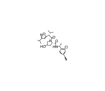 C#Cc1ccc([C@H](C)NC(=O)[C@@H]2C[C@@H](O)CN2C(=O)[C@H](c2cc(C(C)C)no2)C(C)C)c(Cl)c1